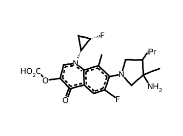 Cc1c(N2CC(C(C)C)C(C)(N)C2)c(F)cc2c(=O)c(OC(=O)O)cn([C@@H]3C[C@@H]3F)c12